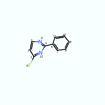 Fc1ccnc(-c2ccccc2)n1